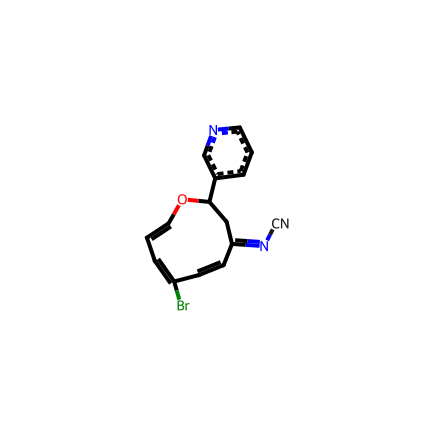 N#C/N=C1/C=C/C(Br)=C\C=C\OC(c2cccnc2)C1